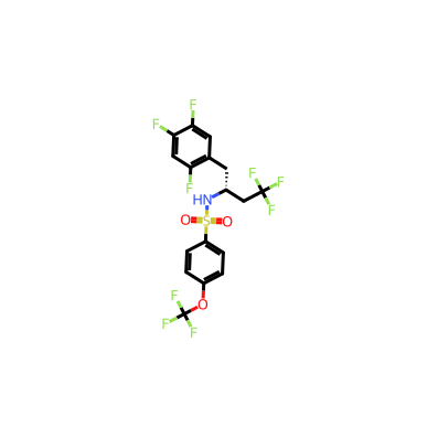 O=S(=O)(N[C@H](Cc1cc(F)c(F)cc1F)CC(F)(F)F)c1ccc(OC(F)(F)F)cc1